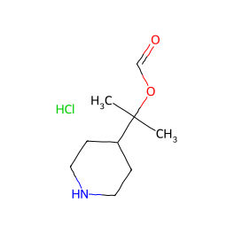 CC(C)(OC=O)C1CCNCC1.Cl